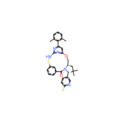 Cc1cccc(C)c1-c1cc2nc(n1)NSc1cccc(c1)C(=O)N(Cc1ccc(F)nc1)[C@H](CC(C)(C)C)CO2